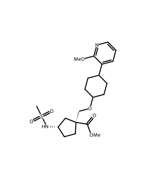 COC(=O)[C@@]1(COC2CCC(c3cccnc3OC)CC2)CC[C@H](NS(C)(=O)=O)C1